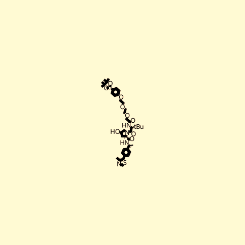 Cc1ncsc1-c1ccc([C@H](C)NC(=O)[C@H]2C[C@H](O)CN2C(=O)[C@@H](NC(=O)COCCOCCOc2ccc(B3OC(C)(C)C(C)(C)O3)cc2)C(C)(C)C)cc1